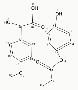 CCC(=O)Oc1ccc(O)cc1.COc1ccc(C(O)C(=O)O)cc1